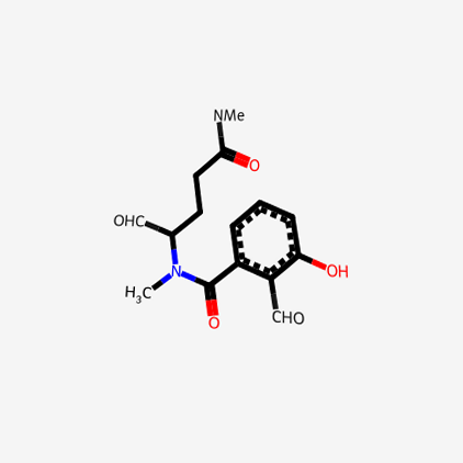 CNC(=O)CCC(C=O)N(C)C(=O)c1cccc(O)c1C=O